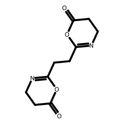 O=C1CCN=C(CCC2=NCCC(=O)O2)O1